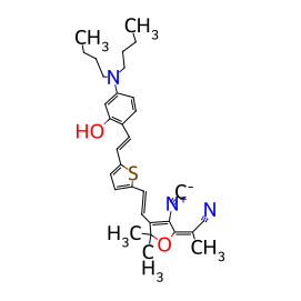 [C-]#[N+]C1=C(/C=C/c2ccc(/C=C/c3ccc(N(CCCC)CCCC)cc3O)s2)C(C)(C)O/C1=C(\C)C#N